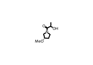 CO[C@H]1CCN(C(=O)C(C)O)C1